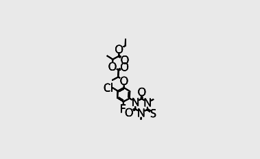 CCOC(=O)C(C)OC(=O)C(C)Oc1cc(-n2c(=O)n(C)c(=S)n(C)c2=O)c(F)cc1Cl